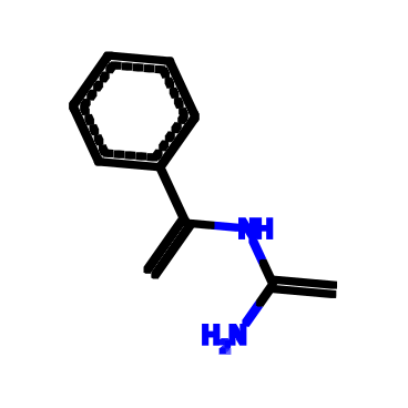 C=C(N)NC(=C)c1ccccc1